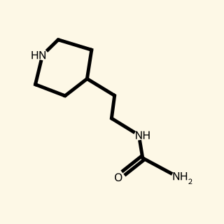 NC(=O)NCCC1CCNCC1